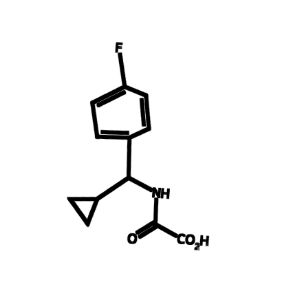 O=C(O)C(=O)NC(c1ccc(F)cc1)C1CC1